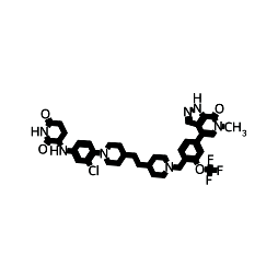 Cn1cc(-c2ccc(CN3CCC(CCC4CCN(c5ccc(NC6CCC(=O)NC6=O)cc5Cl)CC4)CC3)c(OC(F)(F)F)c2)c2cn[nH]c2c1=O